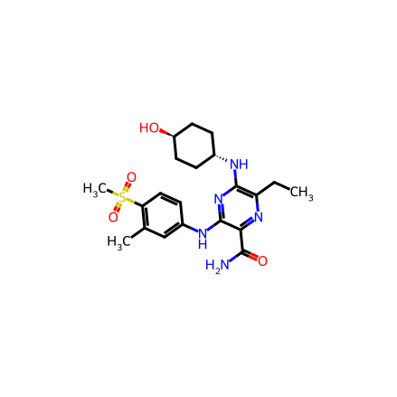 CCc1nc(C(N)=O)c(Nc2ccc(S(C)(=O)=O)c(C)c2)nc1N[C@H]1CC[C@H](O)CC1